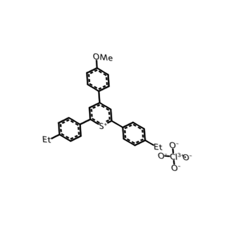 CCc1ccc(-c2cc(-c3ccc(OC)cc3)cc(-c3ccc(CC)cc3)[s+]2)cc1.[O-][Cl+3]([O-])([O-])[O-]